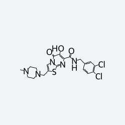 CN1CCN(Cc2cn3c(=O)c(O)c(C(=O)NCc4ccc(Cl)c(Cl)c4)nc3s2)CC1